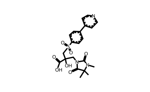 CN1C(=O)N(CC(O)(CS(=O)(=O)c2ccc(-c3ccncc3)cc2)C(=O)O)C(=O)C1(C)C